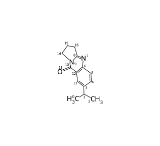 CC(C)c1ccc2nc3n(c(=O)c2c1)CCC3